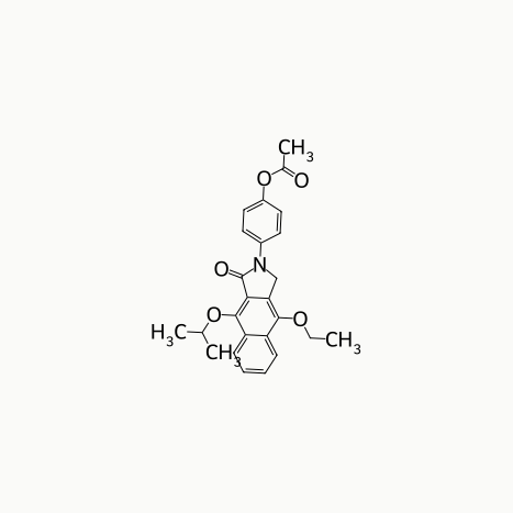 CCOc1c2c(c(OC(C)C)c3ccccc13)C(=O)N(c1ccc(OC(C)=O)cc1)C2